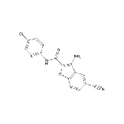 N#Cc1ccc2oc(C(=O)Nc3ccc(Cl)cn3)c(N)c2c1